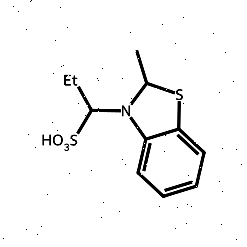 CCC(N1c2ccccc2SC1C)S(=O)(=O)O